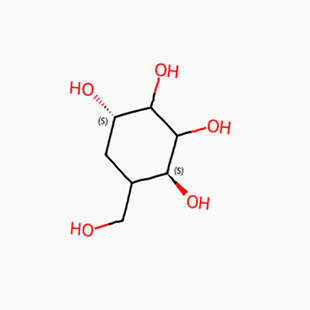 OCC1C[C@H](O)C(O)C(O)[C@H]1O